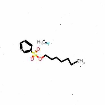 CCCCCCCOS(=O)(=O)c1ccccc1.CF